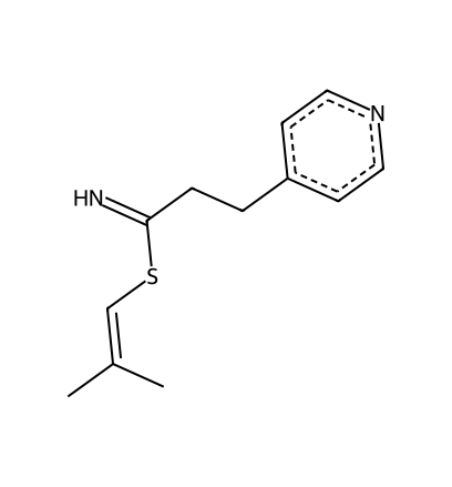 CC(C)=CSC(=N)CCc1ccncc1